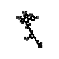 Cc1sc2c(c1C)C(c1ccc(Cl)cc1)=N[C@@H](CC(=O)NCCOc1cc(N)cc(CCOCC(=O)O)c1)c1nnc(C)n1-2